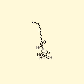 CCCC/C=C\CCCCCCCCCC(=O)OC[C@@H](O)CO[C@H]1O[C@H](CC)[C@@H](O)C(O)C1O